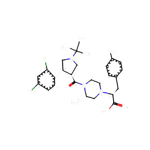 Cc1ccc(C[C@@H](C(=O)O)N2CCN(C(=O)[C@@H]3CN(C(C)(C)C)C[C@H]3c3ccc(Cl)cc3F)[C@@H](C)C2)cc1